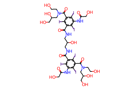 O=C(CO)Nc1c(I)c(C(=O)NCC(O)CNC(=O)c2c(I)c(NC(=O)CO)c(I)c(C(=O)N(CCO)CC(O)CO)c2I)c(I)c(C(=O)N(CCO)CC(O)CO)c1I